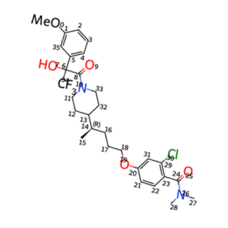 COc1cccc(C(O)(C(=O)N2CCC([C@H](C)CCCOc3ccc(C(=O)N(C)C)c(Cl)c3)CC2)C(F)(F)F)c1